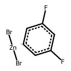 Fc1c[c]cc(F)c1.[Br][Zn][Br]